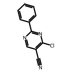 N#Cc1cnc(-c2cc[c]cc2)nc1Cl